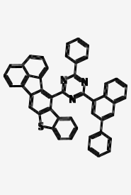 c1ccc(-c2cc(-c3nc(-c4ccccc4)nc(-c4c5c(cc6sc7ccccc7c46)-c4cccc6cccc-5c46)n3)c3ccccc3c2)cc1